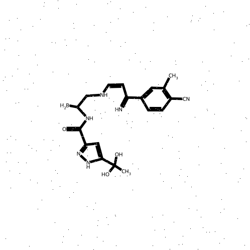 BC(CN/C=C\C(=N)c1ccc(C#N)c(C)c1)NC(=O)c1cc(C(C)(O)O)[nH]n1